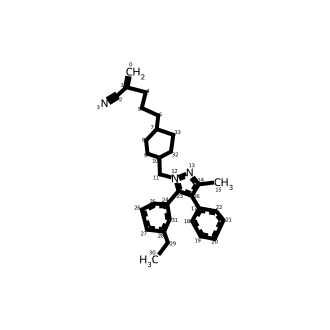 C=C(C#N)CCCC1CCC(Cn2nc(C)c(-c3ccccc3)c2-c2cccc(CC)c2)CC1